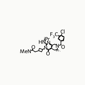 CNC(=O)CC1CC(n2c(NC(C)C)nc3c(c2=O)C[C@@H](C)N(C(=O)c2ccc(Cl)c(C(F)(F)F)c2)C3)C1